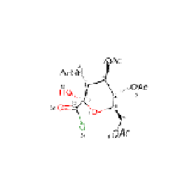 CC(=O)N[C@@H]1[C@@H](OC(C)=O)[C@H](OC(C)=O)[C@@H](COC(C)=O)O[C@@]1(O)C(=O)Cl